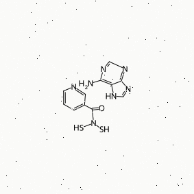 Nc1ncnc2nc[nH]c12.O=C(c1cccnc1)N(S)S